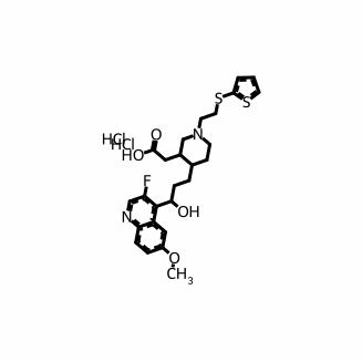 COc1ccc2ncc(F)c(C(O)CCC3CCN(CCSc4cccs4)CC3CC(=O)O)c2c1.Cl.Cl